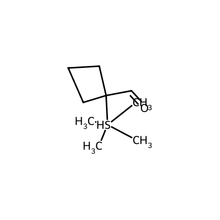 C[SH](C)(C)(C)C1(C=O)CCC1